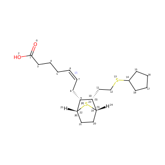 O=C(O)CCC/C=C\C[C@@H]1[C@H](CCSC2CCCC2)[C@@H]2CC[C@H]1S2